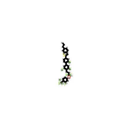 CCCc1ccc2cc(-c3ccc(-c4cc(F)c(CCC(F)(F)Oc5ccc(C(F)(F)F)c(F)c5)c(F)c4)c(F)c3)sc2c1